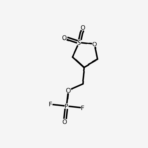 O=P(F)(F)OCC1COS(=O)(=O)C1